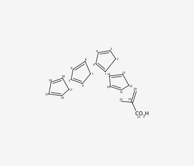 C1=CCC=C1.C1=CCC=C1.C1=CCC=C1.C1=CCC=C1.C=C(C)C(=O)O